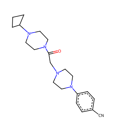 N#Cc1ccc(N2CCN(CC(=O)N3CCN(C4CCC4)CC3)CC2)cc1